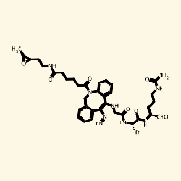 CC1OC1CCNC(=O)CCCCC(=O)N1Cc2ccccc2/C(N=N)=C(/NCC(=O)N[C@H](C(=O)N[C@H](C=O)CCCNC(N)=O)C(C)C)c2ccccc21